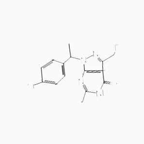 Cc1nc2c(c(CF)nn2C(C)c2ccc(C(C)(C)C)cc2)c(=O)[nH]1